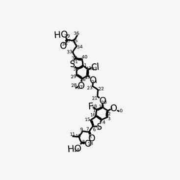 COc1cc2sc(C(=O)CC(C)C(=O)O)cc2c(F)c1OCCCOc1c(OC)cc2sc(CCC(C)C(=O)O)cc2c1Cl